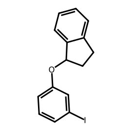 Ic1cccc(OC2CCc3ccccc32)c1